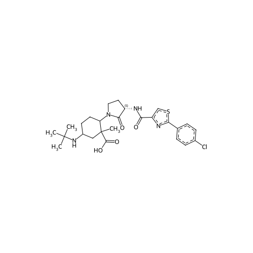 CC(C)(C)NC1CCC(N2CC[C@H](NC(=O)c3csc(-c4ccc(Cl)cc4)n3)C2=O)C(C)(C(=O)O)C1